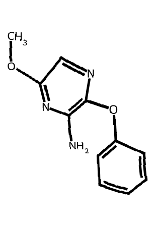 COc1cnc(Oc2ccccc2)c(N)n1